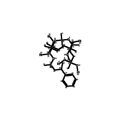 CCO[Si](C)(CC[SiH](C)O[Si](C)(CC[Si](C)(OCC)OCC)O[Si](C)(CC[Si](C)(OCC)OCC)OO[SiH](C)CC(C)c1ccccc1)OCC